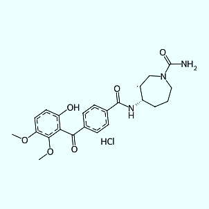 COc1ccc(O)c(C(=O)c2ccc(C(=O)N[C@@H]3[CH]CN(C(N)=O)CCC3)cc2)c1OC.Cl